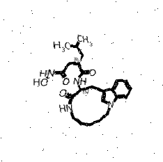 CC(C)C[C@H](CC(=O)NO)C(=O)N[C@H]1Cc2cn(c3ccccc23)CCCCCNC1=O